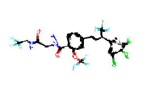 O=C(CNC(=O)c1ccc(/C=C/C(c2cc(Cl)c(Cl)c(Cl)c2)C(F)(F)F)cc1OC(F)(F)F)NCC(F)(F)F